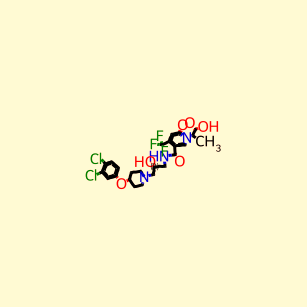 CC(C(=O)O)n1cc(C(=O)NC[C@@H](O)CN2CCC(Oc3ccc(Cl)c(Cl)c3)CC2)c(C(F)(F)F)cc1=O